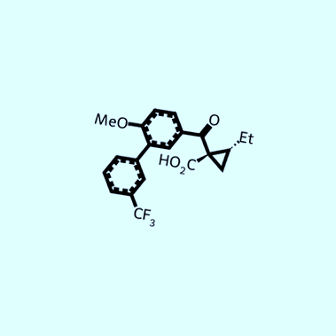 CC[C@@H]1C[C@]1(C(=O)O)C(=O)c1ccc(OC)c(-c2cccc(C(F)(F)F)c2)c1